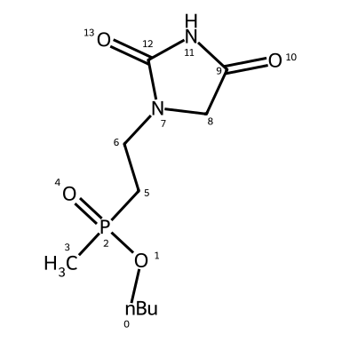 CCCCOP(C)(=O)CCN1CC(=O)NC1=O